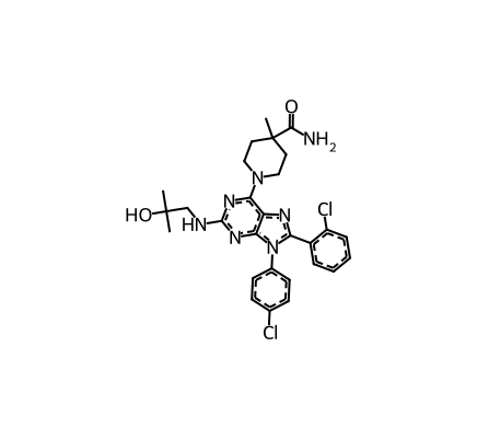 CC(C)(O)CNc1nc(N2CCC(C)(C(N)=O)CC2)c2nc(-c3ccccc3Cl)n(-c3ccc(Cl)cc3)c2n1